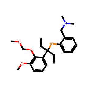 CCC(CC)(Pc1ccccc1CN(C)C)c1cccc(OC)c1OCOC